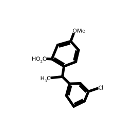 COc1ccc(C(C)c2cccc(Cl)c2)c(C(=O)O)c1